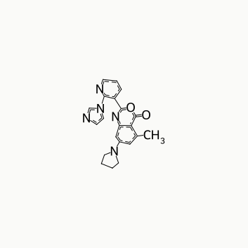 Cc1cc(N2CCCC2)cc2nc(-c3cccnc3-n3ccnc3)oc(=O)c12